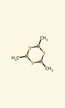 [CH3][Bi]1[S][Bi]([CH3])[S][Bi]([CH3])[S]1